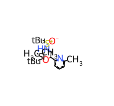 Cc1cccc([C@H](CN[S+]([O-])C(C)(C)C)O[Si](C)(C)C(C)(C)C)n1